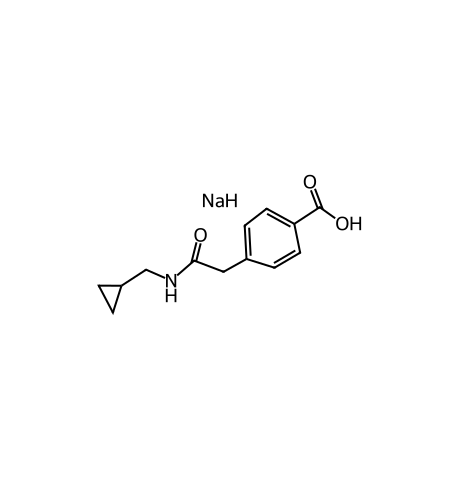 O=C(Cc1ccc(C(=O)O)cc1)NCC1CC1.[NaH]